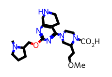 COCCC1CN(c2nc(OCC3CCCN3C)nc3c2CCNC3)CCN1C(=O)O